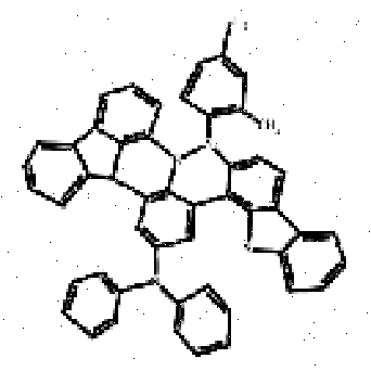 Cc1ccc(N2B3c4cccc5c4C(c4ccccc4-5)c4cc(N(c5ccccc5)c5ccccc5)cc(c43)-c3c2ccc2c3sc3ccccc32)c(C)c1